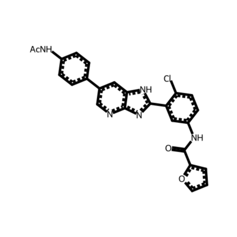 CC(=O)Nc1ccc(-c2cnc3nc(-c4cc(NC(=O)c5ccco5)ccc4Cl)[nH]c3c2)cc1